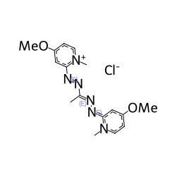 COc1cc[n+](C)c(/N=N/C(C)=N/N=c2\cc(OC)ccn2C)c1.[Cl-]